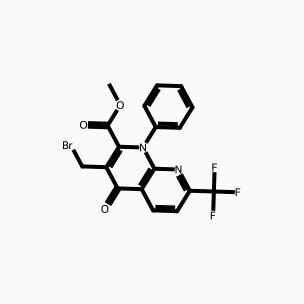 COC(=O)c1c(CBr)c(=O)c2ccc(C(F)(F)F)nc2n1-c1ccccc1